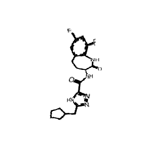 O=C(N[C@H]1CCc2cc(F)cc(F)c2NC1=O)c1nnc(CC2CCCC2)[nH]1